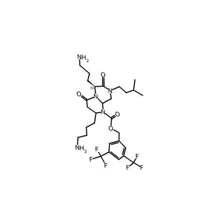 CC(C)CCN1CC2N(C(=O)OCc3cc(C(F)(F)F)cc(C(F)(F)F)c3)C(CCCCN)CC(=O)N2[C@@H](CCCN)C1=O